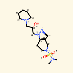 CN(C)S(=O)(=O)N1CCc2c(cnn2C[C@@H](O)CN2CCCCC2)C1